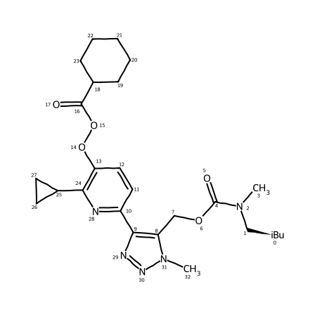 CC[C@H](C)CN(C)C(=O)OCc1c(-c2ccc(OOC(=O)C3CCCCC3)c(C3CC3)n2)nnn1C